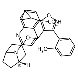 Cc1ccccc1-c1noc(C2CC2)c1COC1CC2CC[C@@H](C1)N2c1ccc2c(C(=O)O)cccc2n1